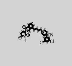 N#CC1(c2cc(Cl)cc(Cl)c2)CCN(CCCCc2cccc3c2CN(C2CCC(=O)NC2=O)C3=O)CC1